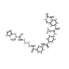 NC(Cc1cscn1)C(=O)NCCCCNC(=O)c1cccc(NC(=O)c2ccc(CN(C(=O)c3ccc4c(c3)OCC(=O)N4)C3CC3)cc2)c1